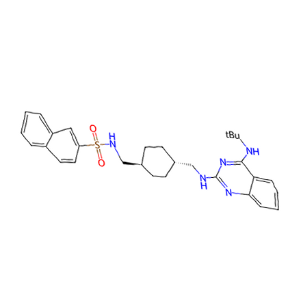 CC(C)(C)Nc1nc(NC[C@H]2CC[C@H](CNS(=O)(=O)c3ccc4ccccc4c3)CC2)nc2ccccc12